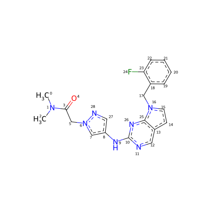 CN(C)C(=O)Cn1cc(Nc2ncc3ccn(Cc4ccccc4F)c3n2)cn1